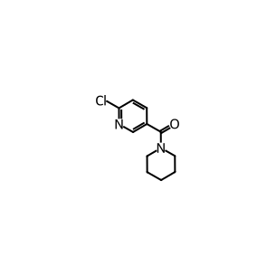 O=C(c1ccc(Cl)nc1)N1CCCCC1